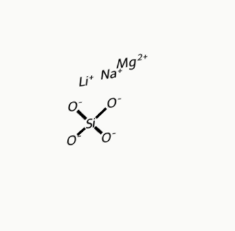 [Li+].[Mg+2].[Na+].[O-][Si]([O-])([O-])[O-]